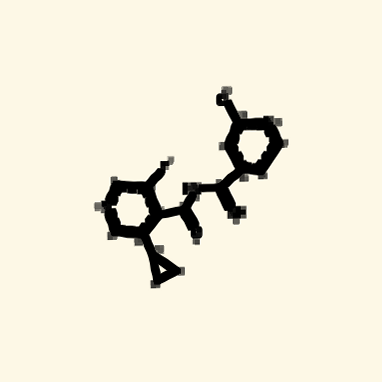 N=C(NC(=O)c1c(F)cncc1C1CC1)c1ccnc(Cl)c1